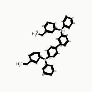 CCc1cccc(N(c2ccccc2)c2ccc(-c3cccc(N(c4ccccc4)c4cccc(CC)c4)c3)cc2)c1